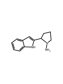 NN1CCCC1c1cc2ccccc2[nH]1